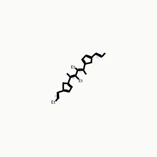 C/C=C/C1=CC=C(/C(C)=C(CC)/C(CC)=C(\C)C2=CC=C(/C=C/CC)C2)C1